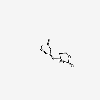 C=CCC(/C=C\C)=C\[C@H]1CCOC(=O)N1